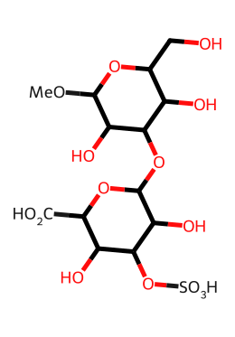 COC1OC(CO)C(O)C(OC2OC(C(=O)O)C(O)C(OS(=O)(=O)O)C2O)C1O